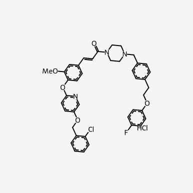 COc1cc(C=CC(=O)N2CCN(Cc3ccc(CCOc4ccc(F)cc4)cc3)CC2)ccc1Oc1ccc(OCc2ccccc2Cl)cn1.Cl